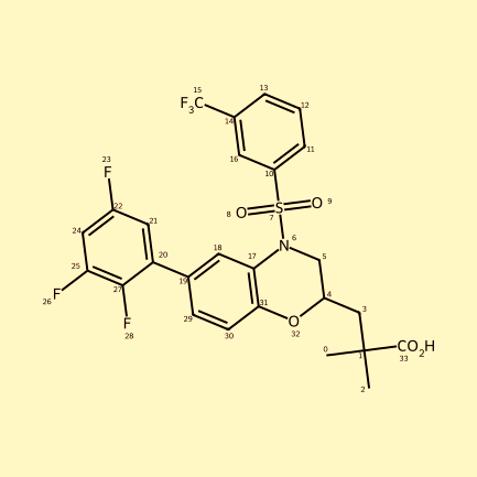 CC(C)(CC1CN(S(=O)(=O)c2cccc(C(F)(F)F)c2)c2cc(-c3cc(F)cc(F)c3F)ccc2O1)C(=O)O